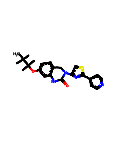 CC(C)([SiH3])C(C)(C)Oc1ccc2c(c1)NC(=O)N(c1csc(-c3ccncc3)n1)C2